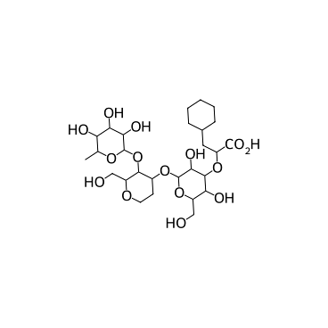 CC1OC(OC2C(CO)OCCC2OC2OC(CO)C(O)C(OC(CC3CCCCC3)C(=O)O)C2O)C(O)C(O)C1O